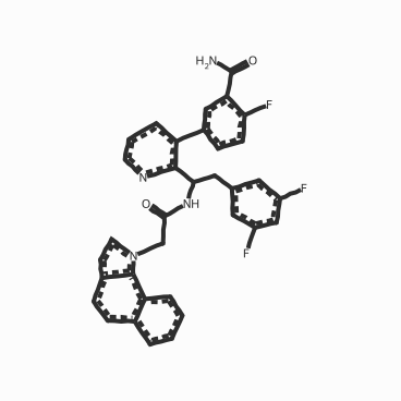 NC(=O)c1cc(-c2cccnc2C(Cc2cc(F)cc(F)c2)NC(=O)Cn2ccc3ccc4ccccc4c32)ccc1F